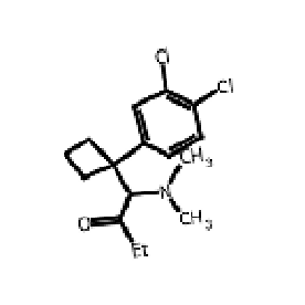 CCC(=O)C(N(C)C)C1(c2ccc(Cl)c(Cl)c2)CCC1